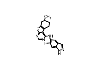 CC1CCc2c(sc3ncnc(Nc4cc5cn[nH]c5cc4F)c23)C1